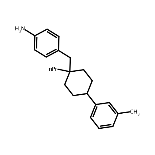 CCCC1(Cc2ccc(N)cc2)CCC(c2cccc(C)c2)CC1